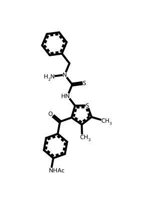 CC(=O)Nc1ccc(C(=O)c2c(NC(=S)N(N)Cc3ccccc3)sc(C)c2C)cc1